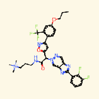 CCCOc1ccc(-c2cc(C(C(=O)NCCC[N+](C)(C)C)n3cc4nc(-c5cccc(F)c5F)nc-4cn3)on2)c(C(F)(F)F)c1